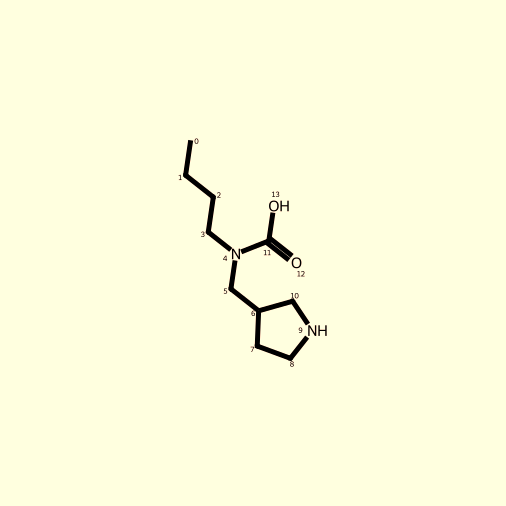 CCCCN(CC1CCNC1)C(=O)O